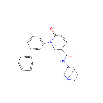 O=C(NC1CN2CCC1CC2)C1C=CC(=O)N(c2cccc(-c3ccccc3)c2)C1